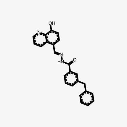 O=C(N/N=C/c1ccc(O)c2ncccc12)c1cccc(Cc2ccccc2)c1